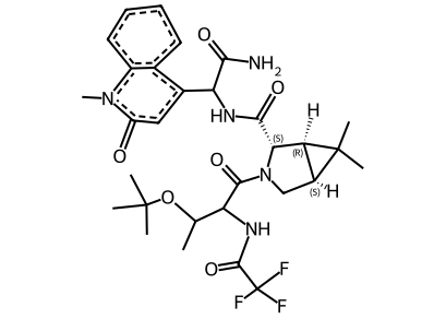 CC(OC(C)(C)C)C(NC(=O)C(F)(F)F)C(=O)N1C[C@H]2[C@@H]([C@H]1C(=O)NC(C(N)=O)c1cc(=O)n(C)c3ccccc13)C2(C)C